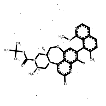 COc1nccc2ccc(C)c(-c3cc4c5c(nc(Cl)nc5c3F)N3C[C@@H](C)N(C(=O)OC(C)(C)C)C[C@H]3CO4)c12